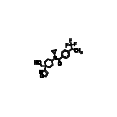 CC(c1ccc(C(=O)N(C2CC2)C2CCC(CO)(c3ccon3)CC2)cc1)C(F)(F)F